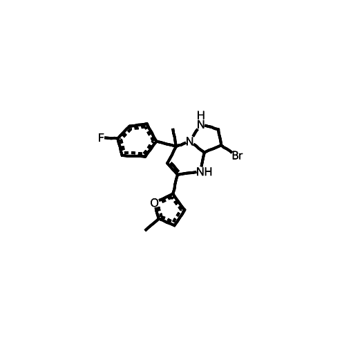 Cc1ccc(C2=CC(C)(c3ccc(F)cc3)N3NCC(Br)C3N2)o1